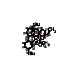 C=CC[CH2][Hf](=[CH2])([CH3])([CH3])([c]1ccccc1)([CH]1C=CC=C1)[CH]1c2cc(C(C)(C)C)ccc2-c2ccc(C(C)(C)C)cc21